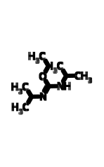 CCO/C(=N\C(C)C)NC(C)C